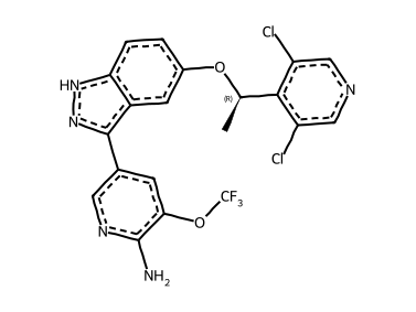 C[C@@H](Oc1ccc2[nH]nc(-c3cnc(N)c(OC(F)(F)F)c3)c2c1)c1c(Cl)cncc1Cl